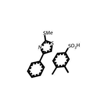 CSc1nc(-c2ccccc2)cs1.Cc1ccc(S(=O)(=O)O)cc1C